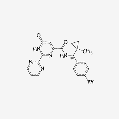 CC(C)c1ccc([C@H](NC(=O)c2cc(=O)[nH]c(-c3ncccn3)n2)C2(C)CC2)cc1